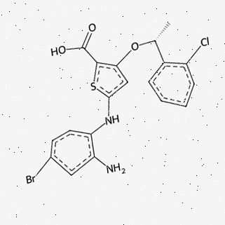 C[C@@H](Oc1cc(Nc2ccc(Br)cc2N)sc1C(=O)O)c1ccccc1Cl